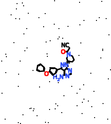 N#CCC(=O)N1CCC[C@@H](n2nc(-c3ccc(Oc4ccccc4)cc3)c3c(N)ncnc32)C1